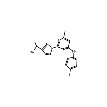 Cc1cc(Nc2ccc(F)cc2)nc(-n2ccc(C(C)O)n2)n1